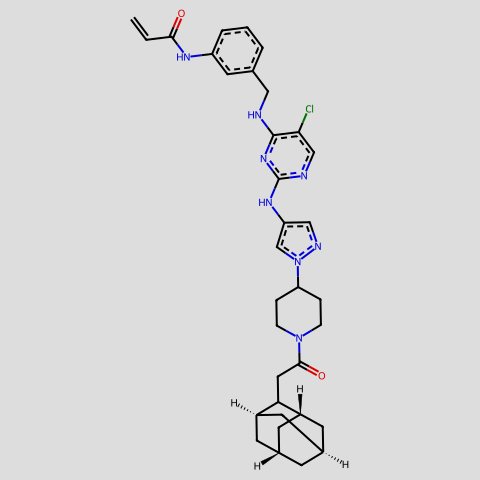 C=CC(=O)Nc1cccc(CNc2nc(Nc3cnn(C4CCN(C(=O)CC5[C@H]6C[C@@H]7C[C@@H](C[C@H]5C7)C6)CC4)c3)ncc2Cl)c1